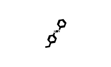 C[CH]c1ccc(/N=N/c2ccccc2)cc1